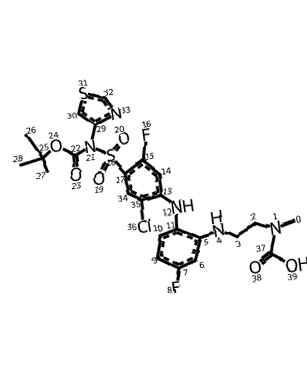 CN(CCNc1cc(F)ccc1Nc1cc(F)c(S(=O)(=O)N(C(=O)OC(C)(C)C)c2cscn2)cc1Cl)C(=O)O